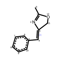 CC1=N/C(=C\c2ccccc2)CO1